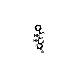 O=C(NC(=S)Nc1ncc(Br)cc1I)c1ccccc1